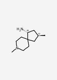 C[C@@H]1C[C@@H](N)C2(CCN(C)CC2)C1